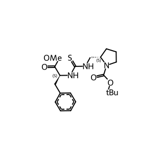 COC(=O)[C@H](Cc1ccccc1)NC(=S)NC[C@@H]1CCCN1C(=O)OC(C)(C)C